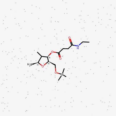 B[C@@H]1O[C@H](CO[Si](C)(C)C)[C@H](OC(=O)CCC(=O)NCC)C1C